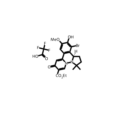 CCOC(=O)c1cn2c(cc1=O)-c1cc(OC)c(O)c(Br)c1[C@H]1CCC(C)(C)N12.O=C(O)C(F)(F)F